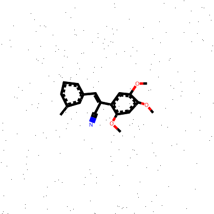 COc1cc(OC)c(C(C#N)=Cc2cccc(C)c2)cc1OC